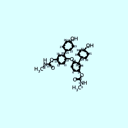 CNC(=O)Oc1ccc(Oc2ccc(OC(=O)NC)cc2-c2ccc(O)cc2)c(-c2ccc(O)cc2)c1